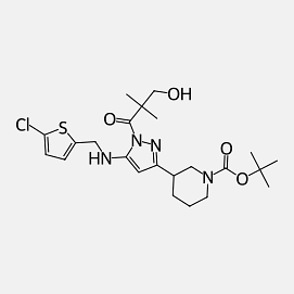 CC(C)(C)OC(=O)N1CCCC(c2cc(NCc3ccc(Cl)s3)n(C(=O)C(C)(C)CO)n2)C1